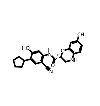 Cc1ccc2c(c1)O[C@@H](C(=O)Nc1cc(O)c(C3CCCC3)cc1C#N)CN2